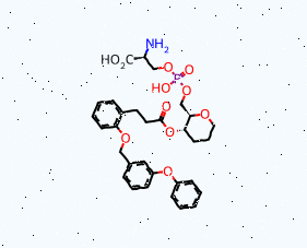 N[C@@H](COP(=O)(O)OC[C@H]1OCCC[C@@H]1OC(=O)CCc1ccccc1OCc1cccc(Oc2ccccc2)c1)C(=O)O